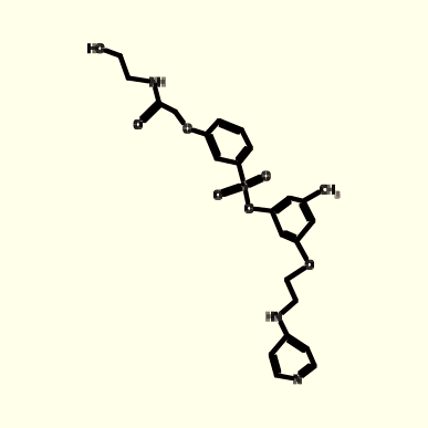 Cc1cc(OCCNc2ccncc2)cc(OS(=O)(=O)c2cccc(OCC(=O)NCCO)c2)c1